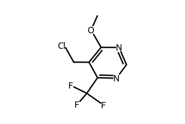 COc1ncnc(C(F)(F)F)c1CCl